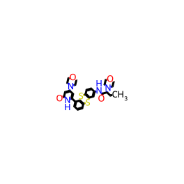 CCC(C(=O)Nc1ccc2c(c1)Sc1cccc(-c3cc(N4CCOCC4)cc(=O)[nH]3)c1S2)N1CCOCC1